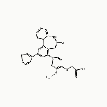 COc1cc(-c2cc(-c3ccccc3)nc3c2CC(=O)Nc2ccccc2-3)ccc1OCC(=O)O